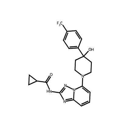 O=C(Nc1nc2cccc(N3CCC(O)(c4ccc(C(F)(F)F)cc4)CC3)n2n1)C1CC1